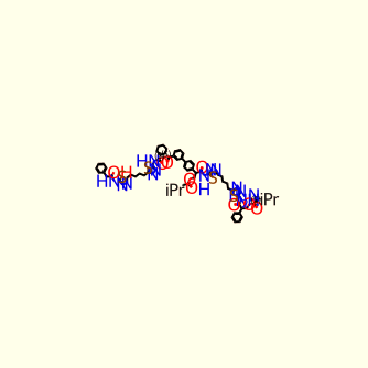 CC(C)CC(=O)OCC(C(=O)Nc1nnc(CCCCc2nnc(NC(=O)C(COC(=O)[C@@H](N)C(C)C)c3ccccc3)s2)s1)c1ccc(-c2cccc(C(=O)[C@H]3CCCC[C@@H]3C(=O)Nc3nnc(CCCCc4nnc(NC(O)Cc5ccccc5)s4)s3)c2)cc1